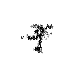 CNC(=O)[C@@H](NC(=O)c1ccc(/C(C)=N\NC(=O)CCN2C(=O)CC(SCC(CC(=O)[C@@H](CC(=O)O)NC(=O)[C@@H](CCCCC(=N)N)NC(=O)[C@H](CC(=O)O)NC(=O)CC[C@H](NC(=O)c3ccc(NCc4cnc5nc(N)[nH]c(=O)c5n4)cc3)C(=O)O)C(=O)O)C2=O)cc1)C(C)C